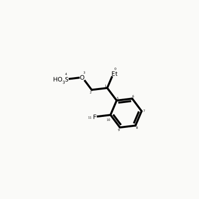 CCC(COS(=O)(=O)O)c1ccccc1F